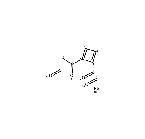 CC(=O)C1=CC=C1.[C]=O.[C]=O.[C]=O.[Fe]